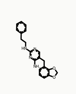 Nc1nc(NCCc2ccccc2)ncc1Cc1cccc2c1OCO2